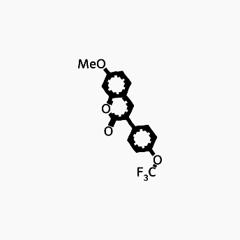 COc1ccc2cc(-c3ccc(OC(F)(F)F)cc3)c(=O)oc2c1